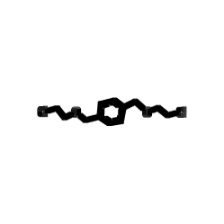 ClCCOCc1ccc(COCCCl)cc1